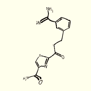 N=C(N)c1cccc(C[CH]C(=O)c2nc(C(N)=O)cs2)c1